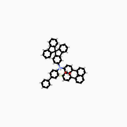 Fc1ccc(-c2cccc3cccc(-c4ccc(N(c5ccc(-c6ccccc6)cc5)c5ccc6c(c5)-c5ccccc5C65c6ccccc6-c6ccccc65)cc4)c23)cc1